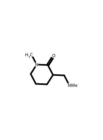 CNCC1CCCN(C)C1=O